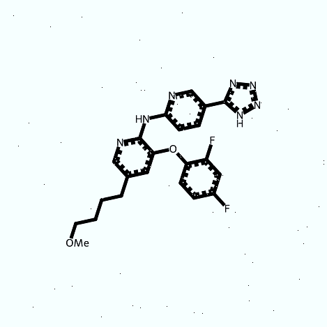 COCCCCc1cnc(Nc2ccc(-c3nnn[nH]3)cn2)c(Oc2ccc(F)cc2F)c1